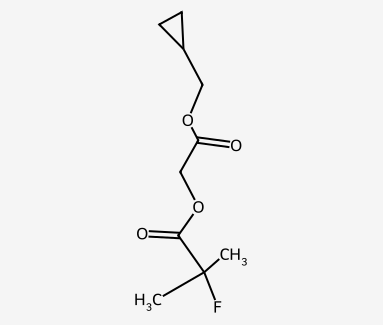 CC(C)(F)C(=O)OCC(=O)OCC1CC1